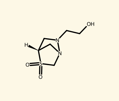 O=S1(=O)CN2C[C@H]1CN2CCO